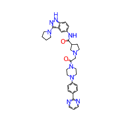 O=C(Nc1ccc2[nH]nc(N3CCCC3)c2c1)C1CCN(CC(=O)N2CCN(c3ccc(-c4ncccn4)cc3)CC2)C1